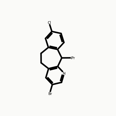 CC(C)C1c2ccc(Cl)cc2CCc2cc(Br)cnc21